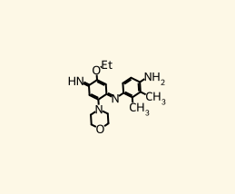 CCOC1=CC(=Nc2ccc(N)c(C)c2C)C(N2CCOCC2)=CC1=N